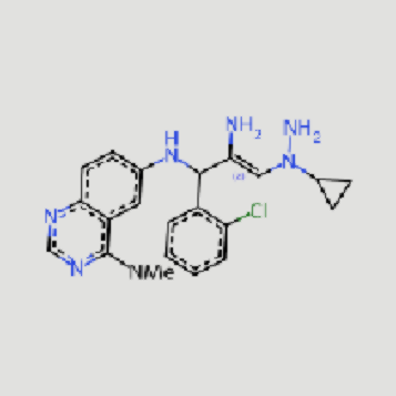 CNc1ncnc2ccc(NC(/C(N)=C/N(N)C3CC3)c3ccccc3Cl)cc12